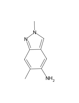 Cc1cc2nn(C)cc2cc1N